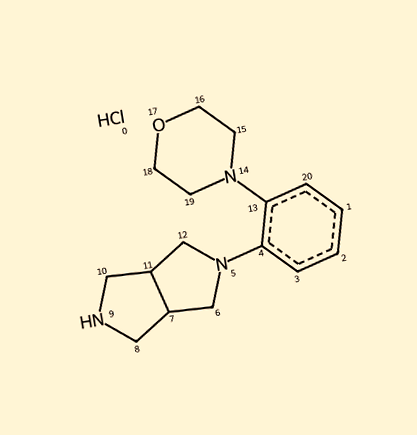 Cl.c1ccc(N2CC3CNCC3C2)c(N2CCOCC2)c1